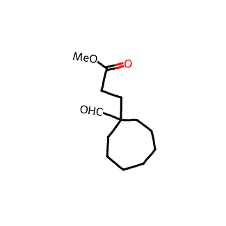 COC(=O)CCC1(C=O)CCCCCCC1